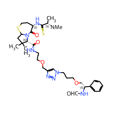 CN[C@@H](C)C(=S)N[C@H]1CCSC2CC(C)(C)[C@@H](C(=O)NCCOCc3cn(CCCOC[C@@H](NC=O)c4ccccc4)nn3)N2C1=O